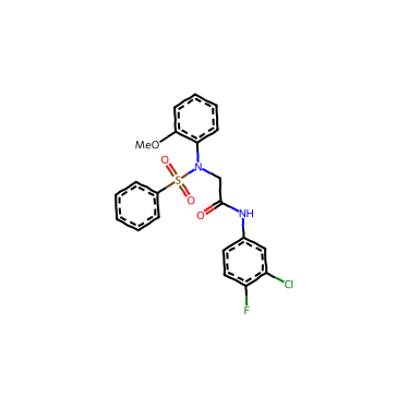 COc1ccccc1N(CC(=O)Nc1ccc(F)c(Cl)c1)S(=O)(=O)c1ccccc1